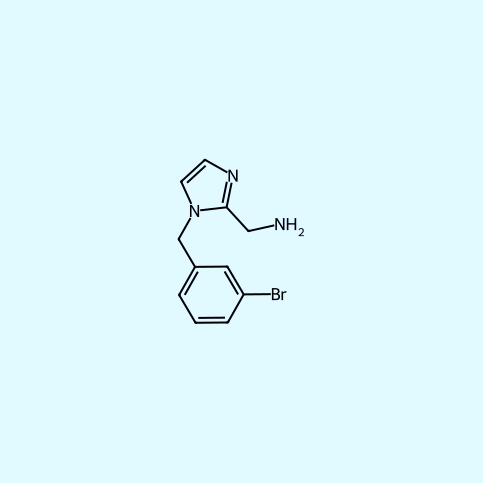 NCc1nccn1Cc1cccc(Br)c1